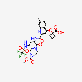 CCOC(=O)N1CCN(C(=O)C(CCNS(=O)(=O)C(F)(F)F)NC(=O)c2cc(OC3(C(=O)O)CCC3)c3ccc(C)cc3n2)CC1